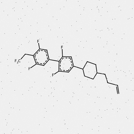 C=CCCC1CCC(c2cc(F)c(-c3cc(F)c(CC(F)(F)F)c(F)c3)c(F)c2)CC1